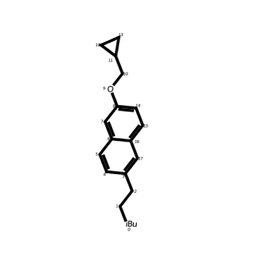 CCC(C)CCc1ccc2cc(OCC3CC3)ccc2c1